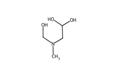 CN(CO)CC(O)O